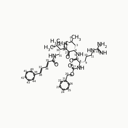 CC(C)C[C@H](NC(=O)[C@H](CCCNC(=N)N)NC(=O)OCc1ccccc1)C(=O)N[C@H](CNC(=O)/C=C/C=C/c1ccccc1)C(C)C